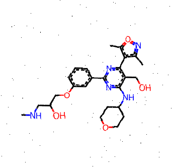 CNCC(O)COc1cccc(-c2nc(NC3CCOCC3)c(CO)c(-c3c(C)noc3C)n2)c1